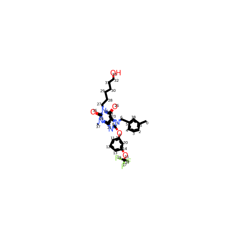 Cc1cccc(Cn2c(Oc3cccc(OC(F)(F)F)c3)nc3c2c(=O)n(CCCCCCO)c(=O)n3C)c1